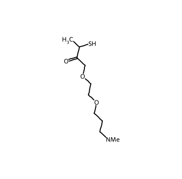 CNCCCOCCOCC(=O)C(C)S